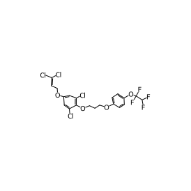 FC(F)C(F)(F)Oc1ccc(OCCCOc2c(Cl)cc(OCC=C(Cl)Cl)cc2Cl)cc1